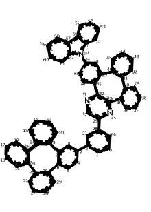 c1cc(-c2ccc3c(c2)-c2ccccc2-c2ccccc2-c2ccccc2-3)cc(-c2cnc3c(n2)-c2ccccc2-c2ccccc2-c2cc(-n4c5ccccc5c5ccccc54)ccc2-3)c1